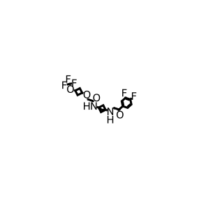 O=C(COC1CC(OC(F)(F)F)C1)NC12CC(NCC(=O)c3ccc(F)c(F)c3)(C1)C2